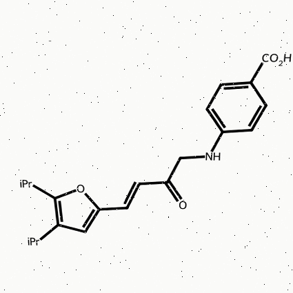 CC(C)c1cc(C=CC(=O)CNc2ccc(C(=O)O)cc2)oc1C(C)C